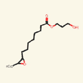 CCCCCCCCC1OC1CCCCCCCC(=O)OCCCO